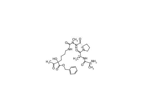 CC(=O)C(O)(CCCCNC(=O)N(C)NC(=O)[C@@H]1CCCN1C(=O)[C@H](C)NC(=O)[C@H](C)N)C(=O)OCc1ccccc1